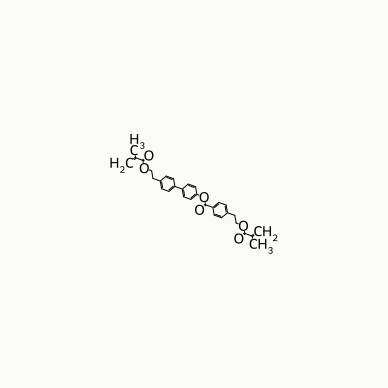 C=C(C)C(=O)OCCc1ccc(C(=O)Oc2ccc(-c3ccc(CCOC(=O)C(=C)C)cc3)cc2)cc1